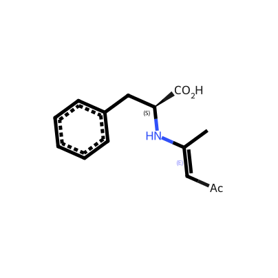 CC(=O)/C=C(\C)N[C@@H](Cc1ccccc1)C(=O)O